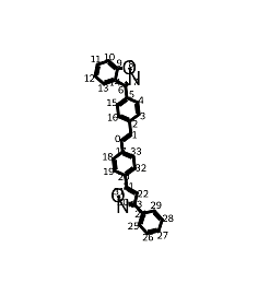 C(=Cc1ccc(-c2noc3ccccc23)cc1)c1ccc(-c2cc(-c3ccccc3)no2)cc1